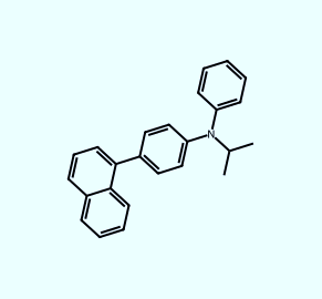 CC(C)N(c1ccccc1)c1ccc(-c2cccc3ccccc23)cc1